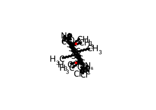 [C-]#[N+]/C(C#N)=C1\C(=C\c2cc3c(s2)-c2sc4c(sc5c4sc4c(SCCCCCCCC)c6c(sc7c8sc9c(c8sc76)C(CCCCCC)(CCCCCC)c6cc(/C=C7\C(=O)c8cc(Cl)c(Cl)cc8\C7=C(\C#N)[N+]#[C-])sc6-9)c(SCCCCCCCC)c45)c2C3(CCCCCC)CCCCCC)C(=O)c2ccccc21